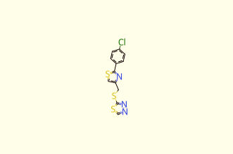 Clc1ccc(-c2nc(CSc3nncs3)cs2)cc1